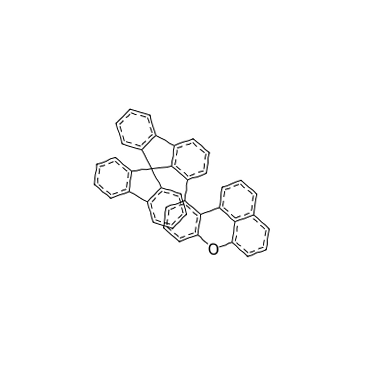 c1ccc2c(c1)-c1ccccc1C21c2ccccc2-c2cccc(-c3cccc4c3-c3cccc5cccc(c35)O4)c21